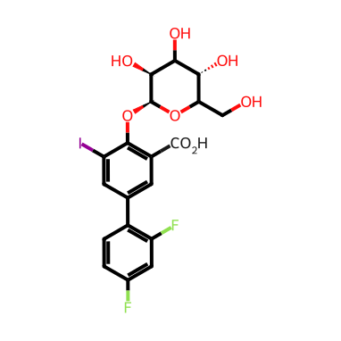 O=C(O)c1cc(-c2ccc(F)cc2F)cc(I)c1O[C@@H]1OC(CO)[C@@H](O)C(O)[C@@H]1O